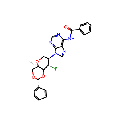 O=C(Nc1ncnc2c1ncn2[C@@H]1CO[C@@H]2CO[C@@H](c3ccccc3)OC2[C@H]1F)c1ccccc1